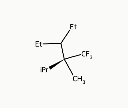 CCC(CC)[C@](C)(C(C)C)C(F)(F)F